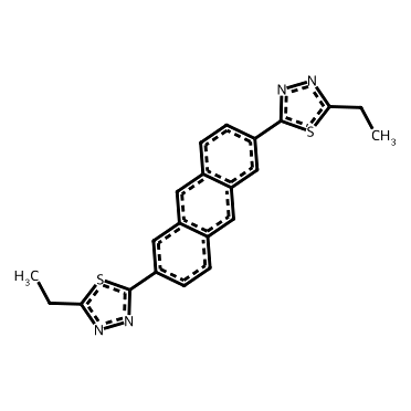 CCc1nnc(-c2ccc3cc4cc(-c5nnc(CC)s5)ccc4cc3c2)s1